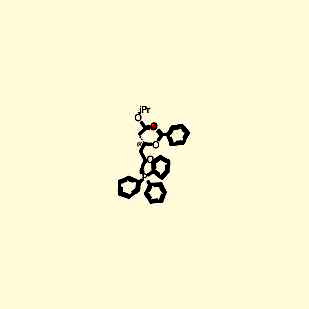 CC(C)OC(=O)C[C@@H](CC(=O)C=P(c1ccccc1)(c1ccccc1)c1ccccc1)OC(=O)c1ccccc1